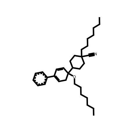 CCCCCCCOC1(C2CCC(C#N)(CCCCCCC)CC2)C=CC(c2ccccc2)=CC1